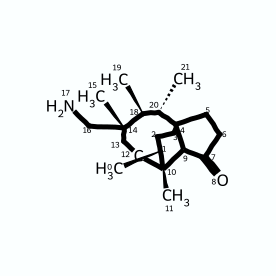 C[C@@H]1CC[C@@]23CCC(=O)C2[C@]1(C)CC[C@](C)(CN)[C@@H](C)[C@@H]3C